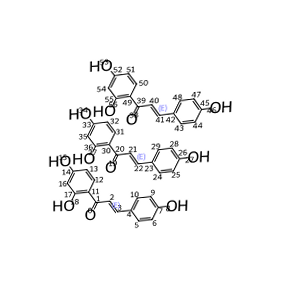 O=C(/C=C/c1ccc(O)cc1)c1ccc(O)cc1O.O=C(/C=C/c1ccc(O)cc1)c1ccc(O)cc1O.O=C(/C=C/c1ccc(O)cc1)c1ccc(O)cc1O